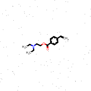 C=Cc1ccc(C(=O)OCCN(CC)CC)cc1